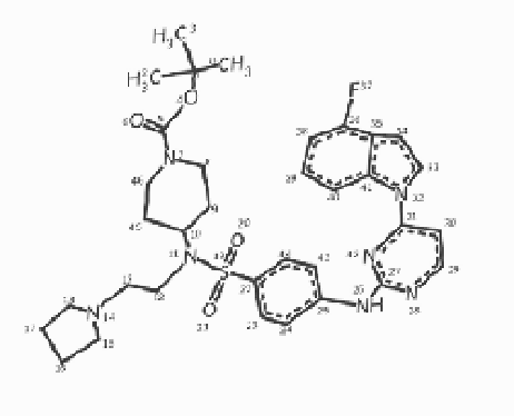 CC(C)(C)OC(=O)N1CCC(N(CCN2CCCC2)S(=O)(=O)c2ccc(Nc3nccc(-n4ccc5c(F)cccc54)n3)cc2)CC1